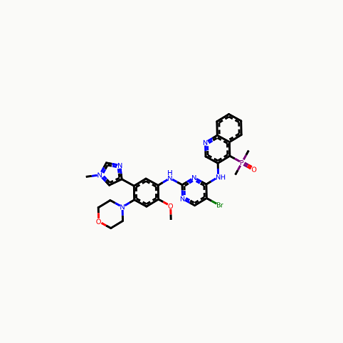 COc1cc(N2CCOCC2)c(-c2cn(C)cn2)cc1Nc1ncc(Br)c(Nc2cnc3ccccc3c2P(C)(C)=O)n1